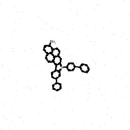 Bc1ccc2ccc3c4c(ccc1c24)cc1c3c2ccc(-c3ccccc3)cc2n1-c1ccc(-c2ccccc2)cc1